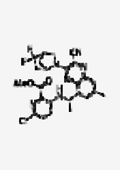 COC(=O)c1nc(Cl)ccc1N[C@H](C)c1cc(C)cc2nc(C#N)c(N3CC4CC3CC4(F)F)nc12